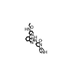 C=CC(=O)Nc1ccnc(-c2cccc3cnc(Nc4ccc(N5CCNCC5)nc4OC)nc23)c1